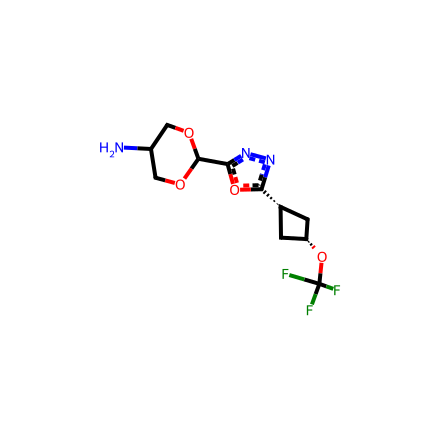 NC1COC(c2nnc([C@H]3C[C@@H](OC(F)(F)F)C3)o2)OC1